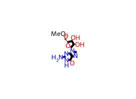 COOC[C@H]1O[C@@H](n2cnc3c(=O)[nH]c(N)nc32)[C@H](O)[C@@H]1O